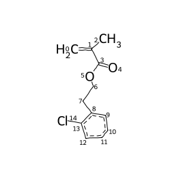 C=C(C)C(=O)OCCc1ccccc1Cl